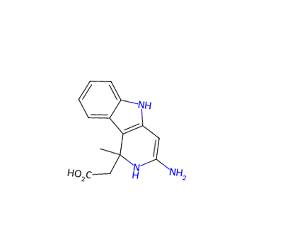 CC1(CC(=O)O)NC(N)=Cc2[nH]c3ccccc3c21